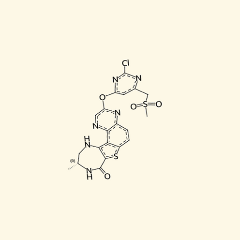 C[C@@H]1CNc2c(sc3ccc4nc(Oc5cc(CS(C)(=O)=O)nc(Cl)n5)cnc4c23)C(=O)N1